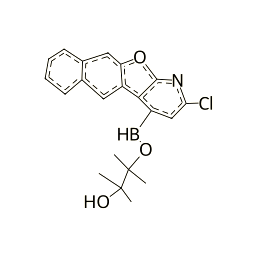 CC(C)(O)C(C)(C)OBc1cc(Cl)nc2oc3cc4ccccc4cc3c12